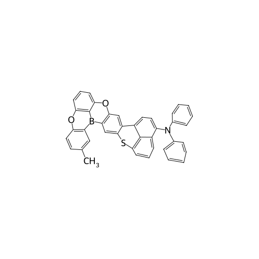 Cc1ccc2c(c1)B1c3cc4c(cc3Oc3cccc(c31)O2)-c1ccc(N(c2ccccc2)c2ccccc2)c2cccc(c12)S4